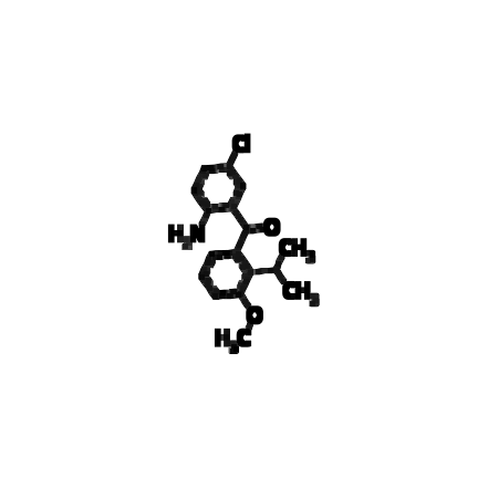 COc1cccc(C(=O)c2cc(Cl)ccc2N)c1C(C)C